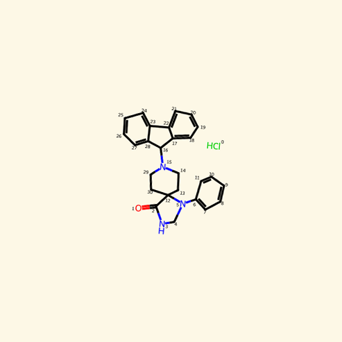 Cl.O=C1NCN(c2ccccc2)C12CCN(C1c3ccccc3-c3ccccc31)CC2